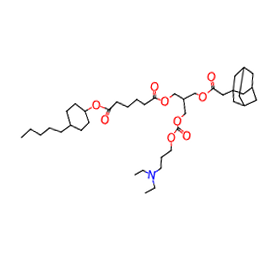 CCCCCC1CCC(OC(=O)CCCCC(=O)OCC(COC(=O)CC23CC4CC(CC(C4)C2)C3)COC(=O)OCCCN(CC)CC)CC1